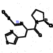 C[C@@H]1CCCN1C(=O)C(Cc1cscn1)/N=C/B=O